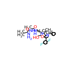 CC(NC(=O)C(N)C(C)C)C(=O)NCCCN(C(=O)CO)C(c1cc(-c2cc(F)ccc2F)cn1Cc1ccccc1)C(C)(C)C